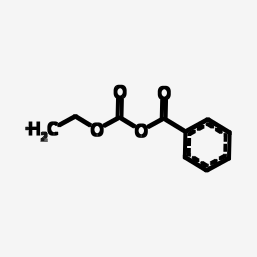 [CH2]COC(=O)OC(=O)c1ccccc1